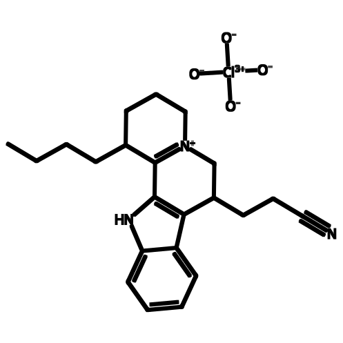 CCCCC1CCC[N+]2=C1c1[nH]c3ccccc3c1C(CCC#N)C2.[O-][Cl+3]([O-])([O-])[O-]